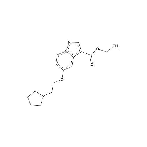 CCOC(=O)c1cnn2ccc(OCCN3CCCC3)cc12